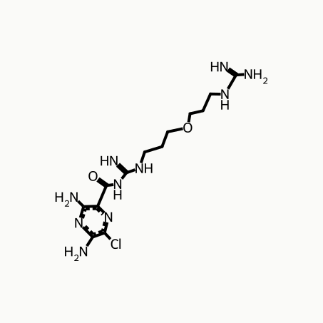 N=C(N)NCCCOCCCNC(=N)NC(=O)c1nc(Cl)c(N)nc1N